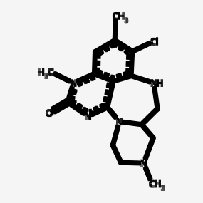 Cc1cc2c3c(nc(=O)n2C)N2CCN(C)CC2CNc3c1Cl